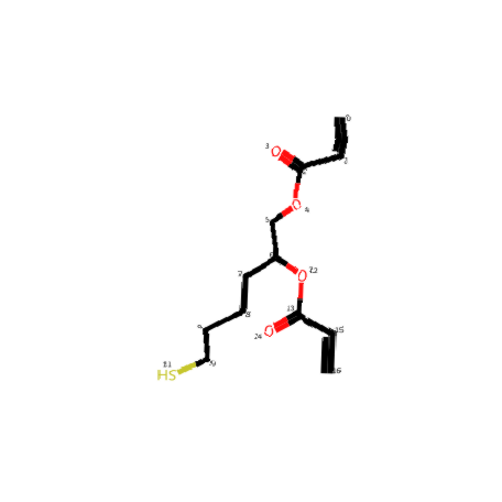 C=CC(=O)OCC(CCCCS)OC(=O)C=C